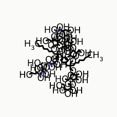 CCCCCCCCC(CO[C@@H]1OC(CO)[C@@H](O[C@H]2OC(CO)[C@@H](O)C(O)C2O)C(O)C1O)(CO[C@@H]1OC(CO)[C@@H](O[C@H]2OC(CO)[C@@H](O)C(O)C2O)C(O)C1O)Cc1ccc(CC(CCCCCCCC)(CO[C@@H]2OC(CO)[C@@H](O[C@@H](O)/C(O)=C(/O)[C@H](O)CCO)C(O)C2O)CO[C@H](O)/C(O)=C(\O)[C@@H](CCO)O[C@@H](O)/C(O)=C(/O)[C@H](O)CCO)cc1